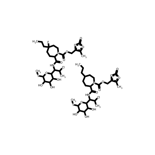 CCCC1(F)CCC(C(=O)NC(C(C)Cl)C2OC(SC)C(O)C(O)C2O)N(C(=O)OCc2oc(=O)oc2C)CC1.CCCC1CCC(C(=O)NC(C(C)Cl)C2OC(SC)C(O)C(O)C2O)N(C(=O)OCc2oc(=O)oc2C)CC1